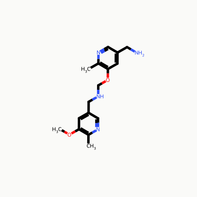 COc1cc(CNCOc2cc(CN)cnc2C)cnc1C